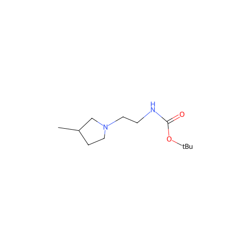 CC1CCN(CCNC(=O)OC(C)(C)C)C1